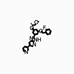 COC[C@H](C)Oc1cc(OCc2ccccc2F)cc(-c2nc3cc(-c4cccnc4)cnc3[nH]2)c1